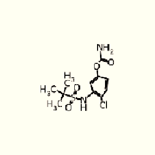 CC(C)(C)S(=O)(=O)Nc1cc(OC(N)=O)ccc1Cl